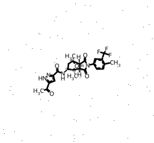 CC(=O)c1cc(C(=O)N[C@H]2C[C@]3(C)O[C@@]2(C)[C@H]2C(=O)N(c4ccc(C)c(C(F)(F)F)c4)C(=O)[C@H]23)n[nH]1